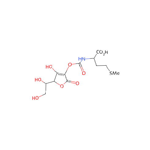 CSCCC(NC(=O)OC1=C(O)C(C(O)CO)OC1=O)C(=O)O